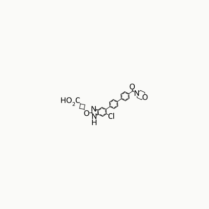 O=C(O)C1CC(Oc2nc3cc(-c4ccc(-c5ccc(C(=O)N6CCOCC6)cc5)cc4)c(Cl)cc3[nH]2)C1